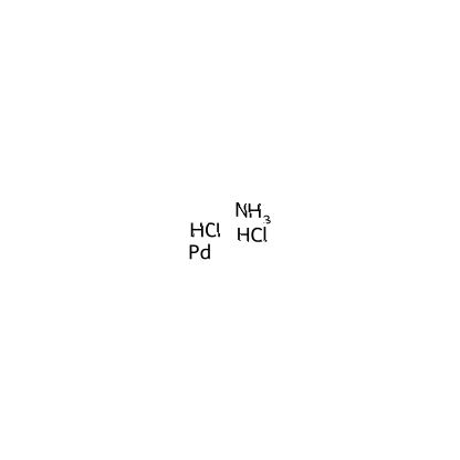 Cl.Cl.N.[Pd]